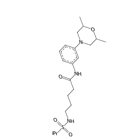 CC1CN(c2cccc(NC(=O)CCCCNS(=O)(=O)C(C)C)c2)CC(C)O1